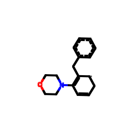 [CH]1CC=CC(N2CCOCC2)=C1Cc1ccccc1